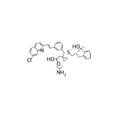 CC(C)(O)c1ccccc1CCCS[C@@H](c1cccc(C=Cc2ccc3ccc(Cl)cc3n2)c1)C1(CC(=O)O)CC1.CC(C)N